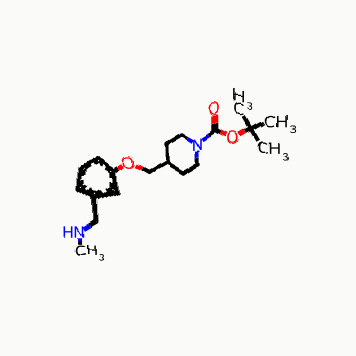 CNCc1cccc(OCC2CCN(C(=O)OC(C)(C)C)CC2)c1